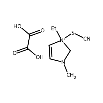 CC[N+]1(SC#N)C=CN(C)C1.O=C(O)C(=O)O